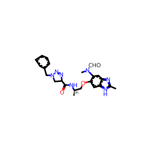 Cc1nc2cc(N(C)C=O)c(OC[C@@H](C)NC(=O)C3CN(Cc4ccccc4)N=N3)cc2[nH]1